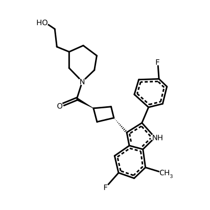 Cc1cc(F)cc2c1[nH]c(-c1ccc(F)cc1)c2[C@H]1C[C@H](C(=O)N2CCCC(CCO)C2)C1